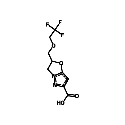 O=C(O)c1cc2n(n1)CC(COCC(F)(F)F)O2